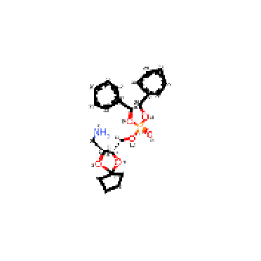 NC[C@@H]1OC2(CCCC2)O[C@H]1COP(=O)(OCc1ccccc1)OCc1ccccc1